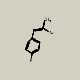 CCc1ccc(/C=C(/C)C(C)=O)cc1